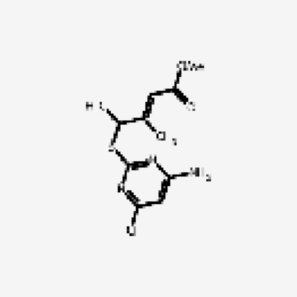 COC(=O)/C=C(\C)C(C)Sc1nc(N)cc(Cl)n1